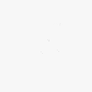 CCOC(=O)c1ccnc(N2CCOCC2)n1